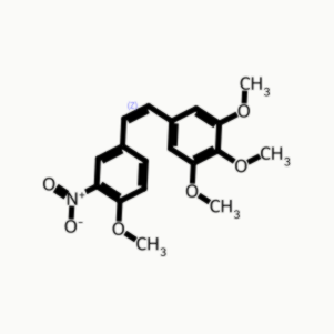 COc1ccc(/C=C\c2cc(OC)c(OC)c(OC)c2)cc1[N+](=O)[O-]